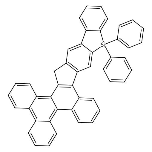 c1ccc([Si]2(c3ccccc3)c3ccccc3-c3cc4c(cc32)-c2c(c3c5ccccc5c5ccccc5c3c3ccccc23)C4)cc1